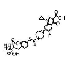 O=C(O)c1cn(C2CC2)c2cc(N3CCN(C(=S)Sc4ccc(CC(P(=O)(O)O)P(=O)(O)O)cc4)CC3)c(F)cc2c1=O